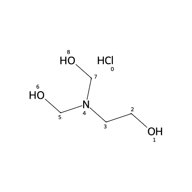 Cl.OCCN(CO)CO